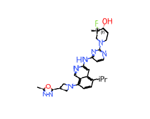 Cc1nnc(C2CN(c3ccc(C(C)C)c4cc(Nc5ccnc(N6CC[C@@H](O)[C@@](C)(F)C6)n5)ncc34)C2)o1